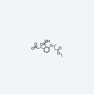 CCOC(=O)CC(C)Oc1cccc2c1B(O)OC2C[N+](=O)[O-]